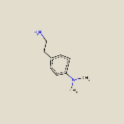 CN(C)c1ccc(CCN)cc1